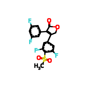 CS(=O)(=O)c1c(F)cc(C2=C(c3cc(F)cc(F)c3)C(=O)OC2)cc1F